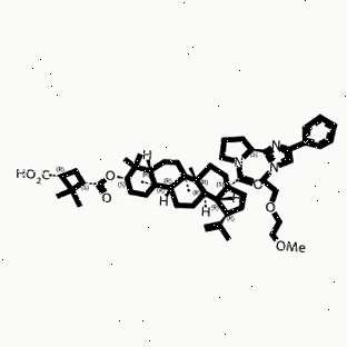 C=C(C)[C@@H]1CC[C@]2(C(=O)N3CCC[C@H]3c3nc(-c4ccccc4)cn3CCOCCOC)CC[C@]3(C)[C@H](CC[C@@H]4[C@@]5(C)CC[C@H](OC(=O)[C@H]6C[C@@H](C(=O)O)C6(C)C)C(C)(C)[C@@H]5CC[C@]43C)[C@@H]12